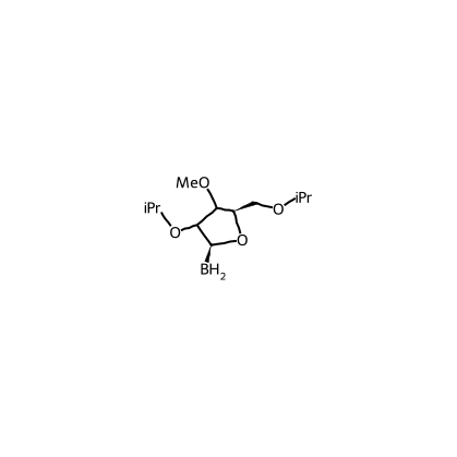 B[C@@H]1O[C@H](COC(C)C)C(OC)C1OC(C)C